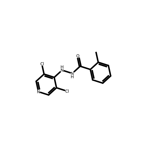 Cc1ccccc1C(=O)NNc1c(Cl)cncc1Cl